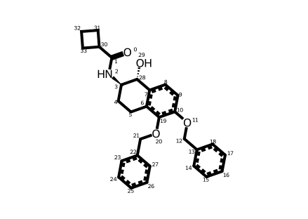 O=C(N[C@@H]1CCc2c(ccc(OCc3ccccc3)c2OCc2ccccc2)[C@H]1O)C1CCC1